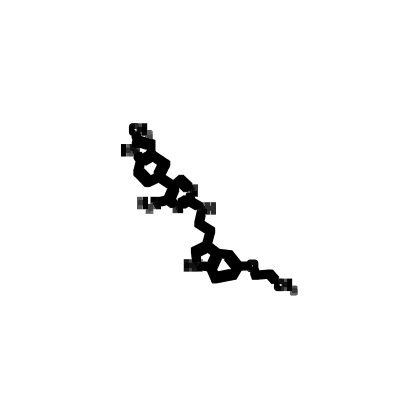 CCCOc1ccc2[nH]cc(CCNc3ncc(-c4ccc5[nH]c(C)cc5c4)c(N)n3)c2c1